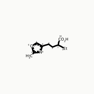 CCC(CCc1coc(C)n1)C(=O)O